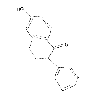 O=C1c2ccc(O)cc2CCC1c1cccnc1